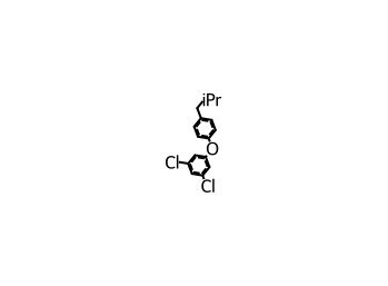 CC(C)Cc1ccc(Oc2cc(Cl)cc(Cl)c2)cc1